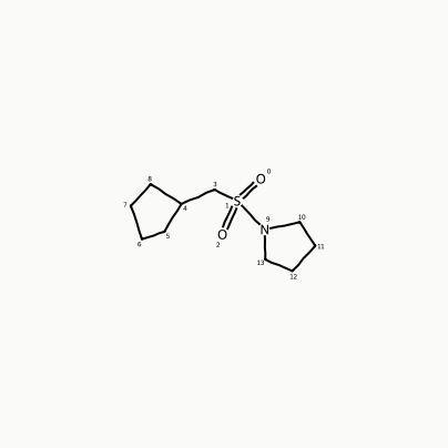 O=S(=O)(CC1CCCC1)N1CCCC1